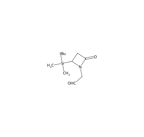 CC(C)(C)[Si](C)(C)[C]1CC(=O)N1CC=O